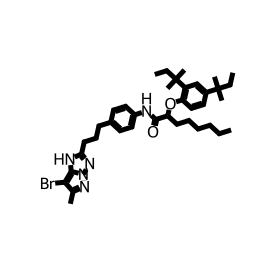 CCCCCCC(Oc1ccc(C(C)(C)CC)cc1C(C)(C)CC)C(=O)Nc1ccc(CCCc2nn3nc(C)c(Br)c3[nH]2)cc1